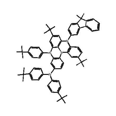 CC(C)(C)c1ccc(N(c2ccc(C(C)(C)C)cc2)c2ccc3c(c2)N(c2ccc(C(C)(C)C)cc2)c2cc(C(C)(C)C)cc4c2B3c2cc(C(C)(C)C)ccc2N4c2ccc3c(c2)-c2ccccc2C3(C)C)cc1